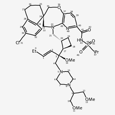 CC/C=C/[C@](CN1CCN(C(COC)COC)CC1)(OC)[C@@H]1CC[C@H]1CN1C[C@@]2(CCCc3cc(Cl)ccc32)COc2ccc(C(=O)NS(=O)(=O)C(C)C)nc21